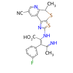 CC(=N)/C(=C(\Nc1nc2c(s1)SC(C)c1ncc(C#N)cc1-2)C(=O)O)c1cccc(F)c1